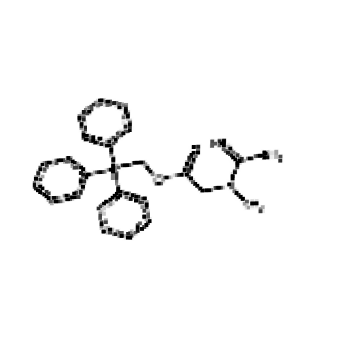 CN(CC(=O)OC[PH](c1ccccc1)(c1ccccc1)c1ccccc1)C(=N)N